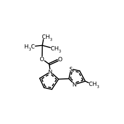 Cc1csc(-c2cccn2C(=O)OC(C)(C)C)n1